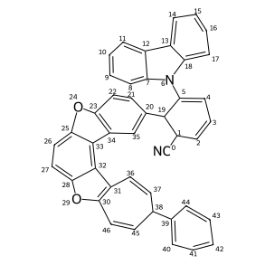 N#CC1C=CC=C(n2c3ccccc3c3ccccc32)C1c1ccc2oc3ccc4oc5c(c4c3c2c1)C=CC(c1ccccc1)C=C5